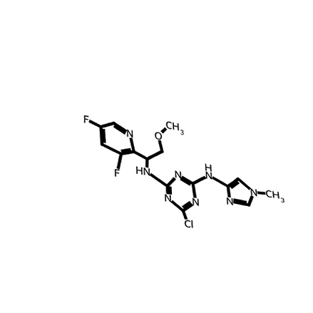 COCC(Nc1nc(Cl)nc(Nc2cn(C)cn2)n1)c1ncc(F)cc1F